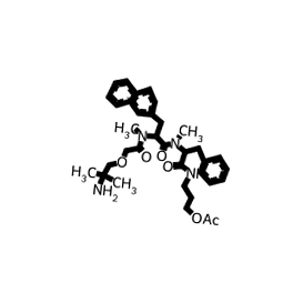 CC(=O)OCCCNC(=O)C(Cc1ccccc1)N(C)C(=O)C(Cc1ccc2ccccc2c1)N(C)C(=O)COCC(C)(C)N